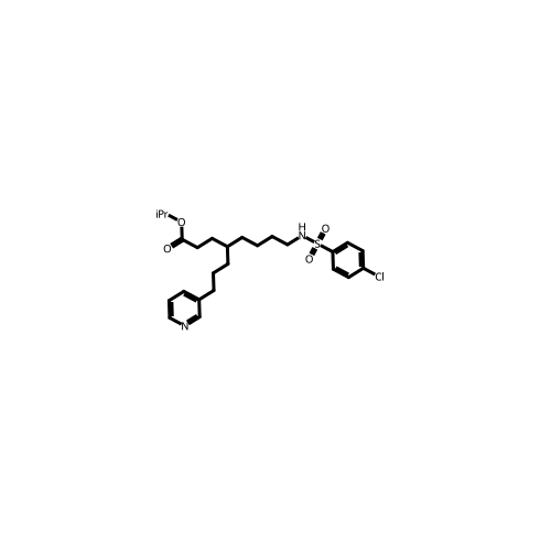 CC(C)OC(=O)CCC(CCCCNS(=O)(=O)c1ccc(Cl)cc1)CCCc1cccnc1